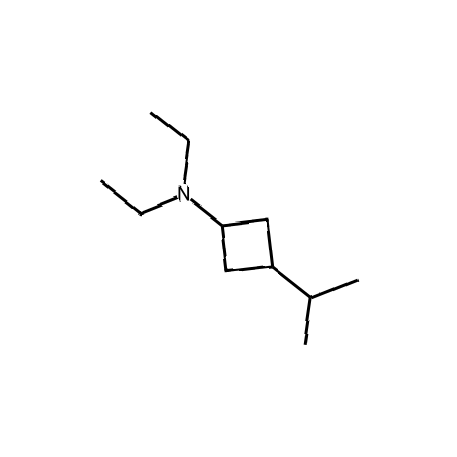 CCN(CC)C1CC(C(C)C)C1